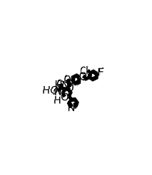 O=C(NO)C1(NS(=O)(=O)c2ccc(OCc3ccc(F)cc3Cl)cc2)CCC(c2cccnc2)OC1